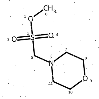 COS(=O)(=O)CN1CCOCC1